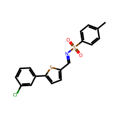 Cc1ccc(S(=O)(=O)N=Cc2ccc(-c3cccc(Cl)c3)s2)cc1